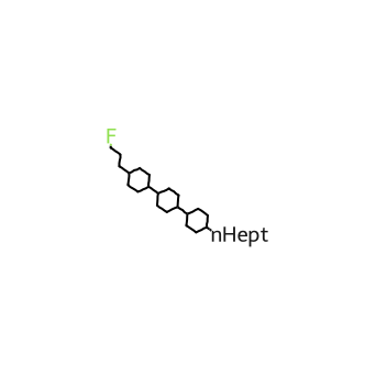 CCCCCCCC1CCC(C2CCC(C3CCC(CCCF)CC3)CC2)CC1